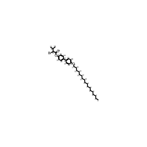 CCCCCCCCCCCCCCCCCCOc1ccc(-c2ccc(OC(=O)C(Br)C(C)C)cc2)cc1